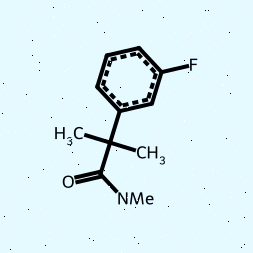 CNC(=O)C(C)(C)c1cccc(F)c1